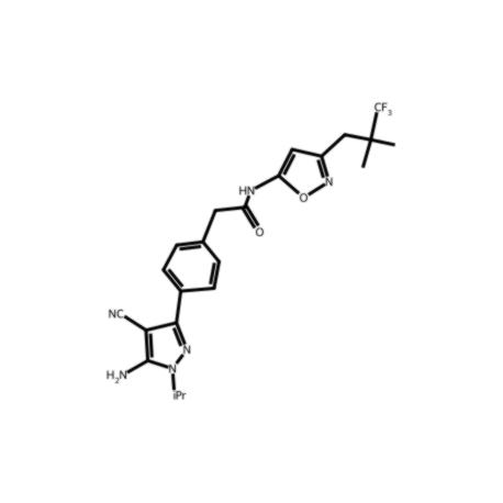 CC(C)n1nc(-c2ccc(CC(=O)Nc3cc(CC(C)(C)C(F)(F)F)no3)cc2)c(C#N)c1N